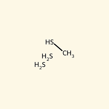 CS.S.S